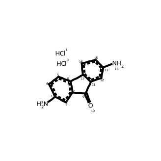 Cl.Cl.Nc1ccc2c(c1)C(=O)c1cc(N)ccc1-2